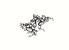 C[C@H](NC(=O)N(C)C)C(=O)N1C[C@H](F)C[C@H]1C(=O)N[C@@H](c1ccccc1)c1ccc(C2CC2)c(F)n1